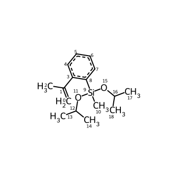 C=C(C)c1ccccc1[Si](C)(OC(C)C)OC(C)C